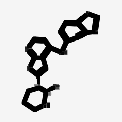 CC[C@H]1NCCC[C@@H]1c1cc2c(Nc3ccc4scnc4c3)ccnc2s1